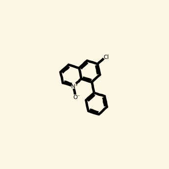 [O-][n+]1cccc2cc(Cl)cc(-c3ccccc3)c21